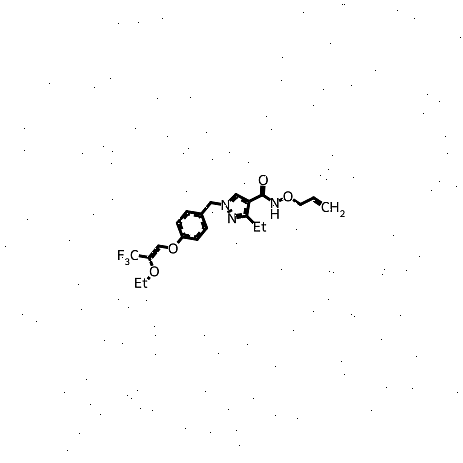 C=CCONC(=O)c1cn(Cc2ccc(O/C=C(\OCC)C(F)(F)F)cc2)nc1CC